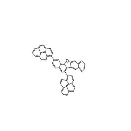 c1ccc2cc3c(cc2c1)oc1c2cc(-c4ccc5ccc6cccc7ccc4c5c67)ccc2cc(-c2ccc4ccc5cccc6ccc2c4c56)c31